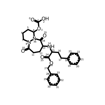 O=C(O)OC1CCCN2C(=O)CCC(NC(CCc3ccccc3)C(=O)OCc3ccccc3)C(=O)N12